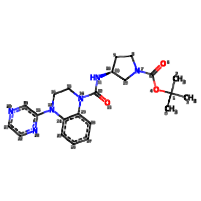 CC(C)(C)OC(=O)N1CC[C@H](NC(=O)N2CCN(c3cnccn3)c3ccccc32)C1